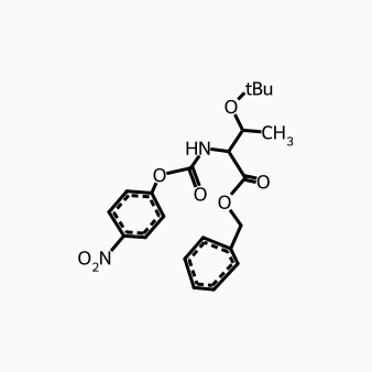 CC(OC(C)(C)C)C(NC(=O)Oc1ccc([N+](=O)[O-])cc1)C(=O)OCc1ccccc1